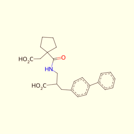 O=C(O)CC1(C(=O)NCC(Cc2ccc(-c3ccccc3)cc2)C(=O)O)CCCC1